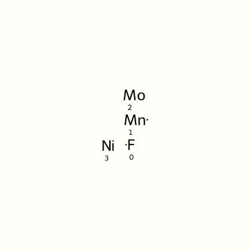 [F].[Mn].[Mo].[Ni]